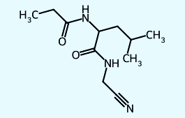 CCC(=O)NC(CC(C)C)C(=O)NCC#N